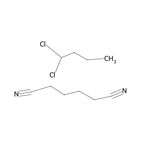 CCCC(Cl)Cl.N#CCCCCC#N